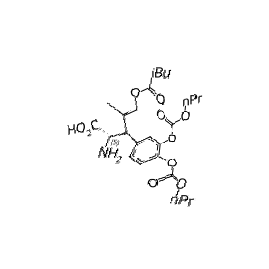 CCCOC(=O)Oc1ccc(C(C(C)COC(=O)C(C)CC)[C@H](N)C(=O)O)cc1OC(=O)OCCC